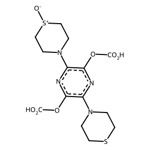 O=C(O)Oc1nc(N2CC[S+]([O-])CC2)c(OC(=O)O)nc1N1CCSCC1